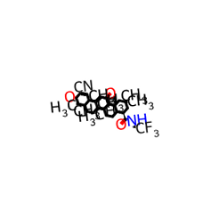 CC1(C)C[C@@H](C(=O)NCC(F)(F)F)C2CC[C@]3(C)[C@H](C(=O)C=C4[C@@]5(C)C=C(C#N)C(=O)C(C)(C)C5CC[C@]43C)[C@H]2C1